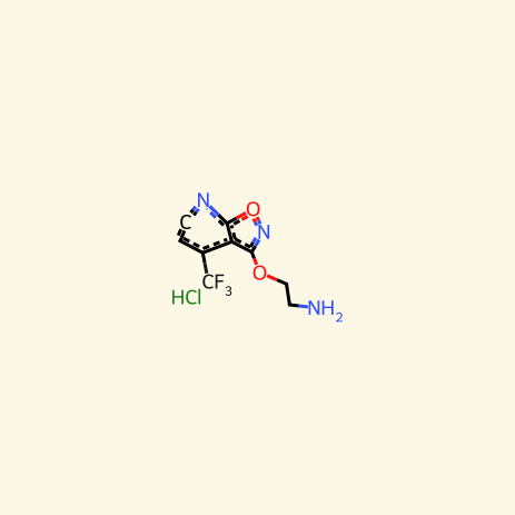 Cl.NCCOc1noc2nccc(C(F)(F)F)c12